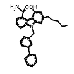 CCCCCc1cc(O)c2c3c(C(N)=O)cccc3n(Cc3cccc(-c4ccccc4)c3)c2c1